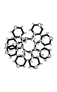 C1CN(N2P(N3CCOCC3)N=P(N3CCOCC3)(N3CCOCC3)N(N3CCOCC3)P(N3CCOCC3)N(N3CCOCC3)P2N2CCOCC2)CCO1